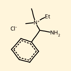 CC[N+](C)(C)C(N)c1ccccc1.[Cl-]